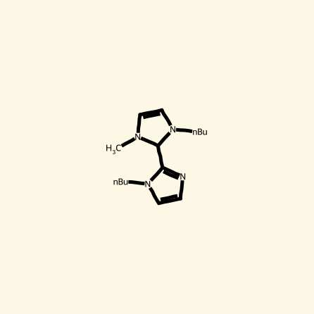 CCCCN1C=CN(C)C1c1nccn1CCCC